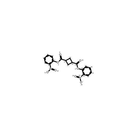 O=C(Oc1ccccc1[N+](=O)[O-])C1CC(C(=O)Oc2ccccc2[N+](=O)[O-])C1